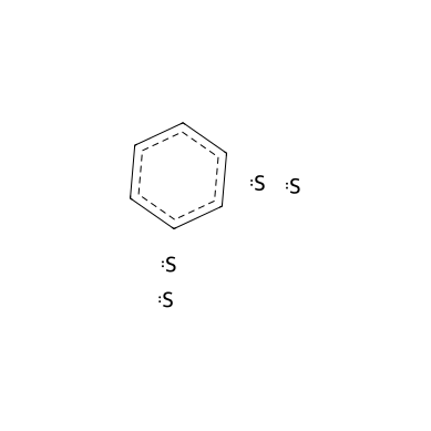 [S].[S].[S].[S].c1ccccc1